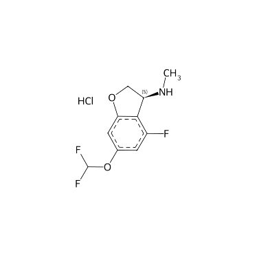 CN[C@@H]1COc2cc(OC(F)F)cc(F)c21.Cl